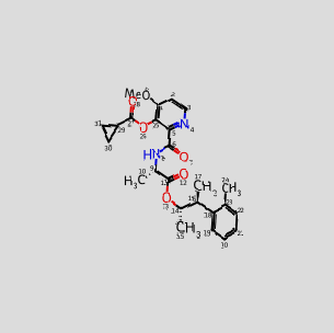 COc1ccnc(C(=O)N[C@@H](C)C(=O)O[C@@H](C)[C@@H](C)c2ccccc2C)c1OC(=O)C1CC1